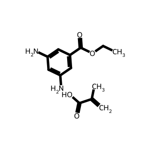 C=C(C)C(=O)O.CCOC(=O)c1cc(N)cc(N)c1